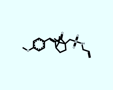 C=CCNS(=O)(=O)CC12CCC(C(=Cc3ccc(OC)cc3)C1=O)C2(C)C